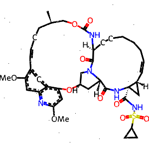 COc1cc2c3cc(c(OC)cc3n1)/C=C/CC[C@@H](C)COC(=O)N[C@H]1CCCCC/C=C\[C@@H]3C[C@@]3(C(=O)NS(=O)(=O)C3CC3)NC(=O)[C@@H]3C[C@H](CN3C1=O)O2